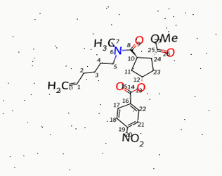 C=CCCCCN(C)C(=O)[C@@H]1C[C@@H](OC(=O)c2ccc([N+](=O)[O-])cc2)C[C@H]1C(=O)OC